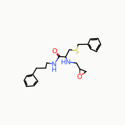 O=C(NCCCc1ccccc1)C(CSCc1ccccc1)NCC1CO1